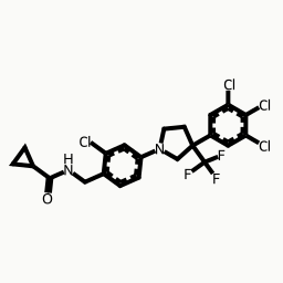 O=C(NCc1ccc(N2CCC(c3cc(Cl)c(Cl)c(Cl)c3)(C(F)(F)F)C2)cc1Cl)C1CC1